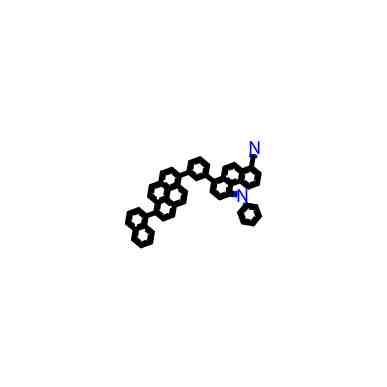 N#Cc1ccc2c3c1ccc1c(-c4cccc(-c5ccc6ccc7c(-c8cccc9ccccc89)ccc8ccc5c6c87)c4)ccc(c13)n2-c1ccccc1